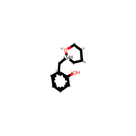 Oc1ccccc1C[SiH]1CCCCO1